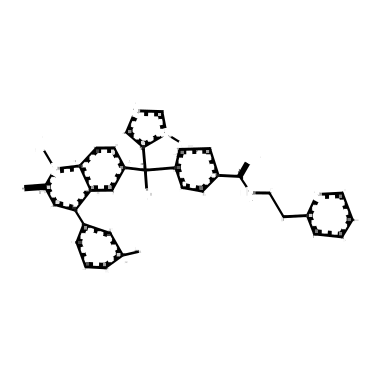 Cn1cncc1C(O)(c1ccc(C(=O)NCCc2ccccn2)cc1)c1ccc2c(c1)c(-c1cccc(Cl)c1)cc(=O)n2C